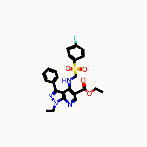 CCOC(=O)c1cnc2c(c(-c3ccccc3)nn2CC)c1NCS(=O)(=O)c1ccc(F)cc1